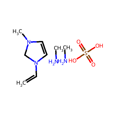 C=CN1C=CN(C)C1.CN.CN.O=S(=O)(O)O